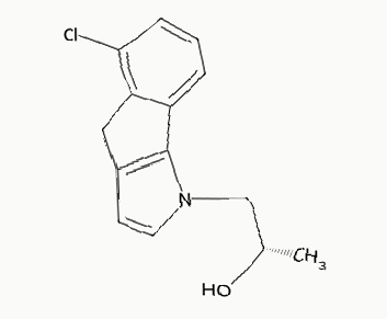 C[C@H](O)Cn1ccc2c1-c1cccc(Cl)c1C2